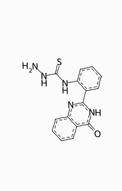 NNC(=S)Nc1ccccc1-c1nc2ccccc2c(=O)[nH]1